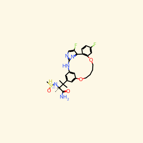 C/[SH](=O)=N/[C@](C)(C(N)=O)C(C)(C)c1cc2cc(c1)OCCCCOc1cc(F)ccc1-c1nc(ncc1F)N2